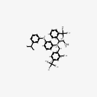 CC(C)c1cccc(Oc2cccc(N(Cc3ccc(C(F)(F)F)cc3F)C(CO)c3ccccc3C(F)(F)F)c2)c1